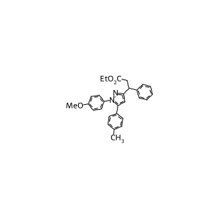 CCOC(=O)CC(c1ccccc1)c1cc(-c2ccc(C)cc2)n(-c2ccc(OC)cc2)n1